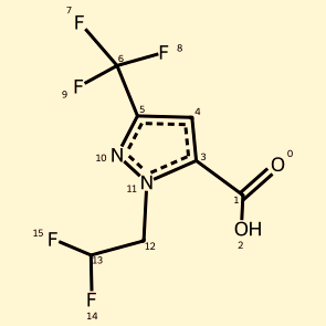 O=C(O)c1cc(C(F)(F)F)nn1CC(F)F